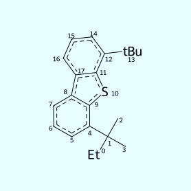 CCC(C)(C)c1cccc2c1sc1c(C(C)(C)C)cccc12